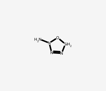 NN1N=N[SiH2]O1